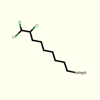 [CH2]CCCCCCCCCCCCCC(Cl)[C](Cl)Cl